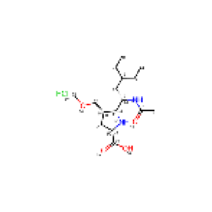 CCC(CC)C[C@H](NC(C)=O)[C@@H]1N[C@@H](C(=O)O)C[C@H]1COC.Cl